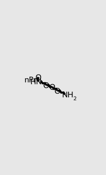 CCCC(=O)NCCCOCCOCCOCCCN